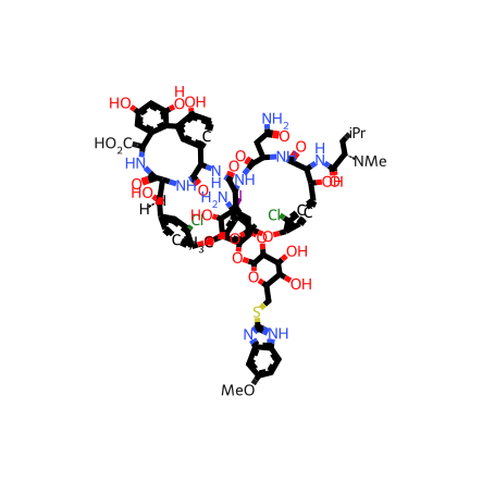 CN[C@@H](CC(C)C)C(=O)NC1C(=O)NC(CC(N)=O)C(=O)NC2C(=O)NC3C(=O)N[C@H](C(=O)NC(C(=O)O)c4cc(O)cc(O)c4-c4cc3ccc4O)[C@H](O)c3ccc(c(Cl)c3)Oc3cc2cc(c3OC2OC(CSc3nc4cc(OC)ccc4[nH]3)C(O)C(O)C2OC2CC(N)(I)C(O)C(C)O2)Oc2ccc(cc2Cl)C1O